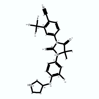 CC1(C)C(=O)N(c2ccc(C#N)c(C(F)(F)F)c2)C(=S)N1c1ccc(OC2CCNC2)c(F)c1